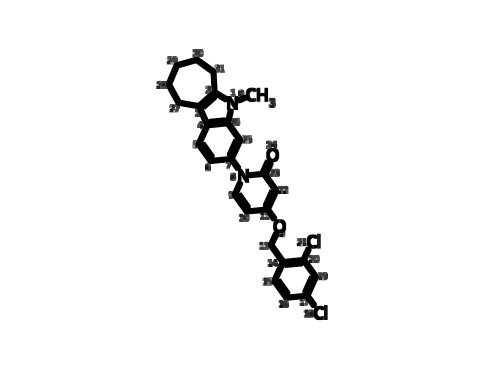 Cn1c2c(c3ccc(-n4ccc(OCc5ccc(Cl)cc5Cl)cc4=O)cc31)CCCCC2